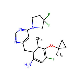 CC1C(OC2(C)CC2)=C(F)C=C(N)C1Cc1cc(N2CCC(F)(F)C2)ncn1